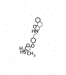 CC(C)(S)CC(=O)Oc1ccc(CCNCC2CCc3ccccc3C2=O)cc1